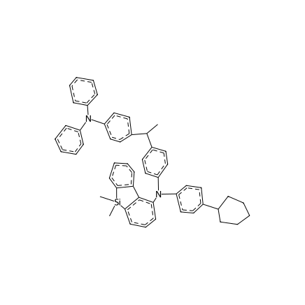 CC(c1ccc(N(c2ccccc2)c2ccccc2)cc1)c1ccc(N(c2ccc(C3CCCCC3)cc2)c2cccc3c2-c2ccccc2[Si]3(C)C)cc1